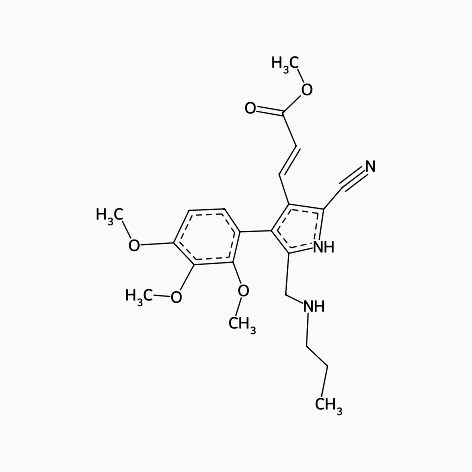 CCCNCc1[nH]c(C#N)c(C=CC(=O)OC)c1-c1ccc(OC)c(OC)c1OC